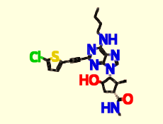 CCCCNc1nc(C#Cc2ccc(Cl)s2)nc2c1ncn2[C@@H]1[C@@H](C)[C@H](C(=O)NC)C[C@H]1O